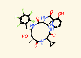 C[C@H]1NC(=O)C(C2CC2)NC(=O)[C@H](C)[C@H](O)[C@H](Cc2c(F)c(F)c(F)c(F)c2F)NC(=O)[C@H]1NC(=O)c1ncccc1O